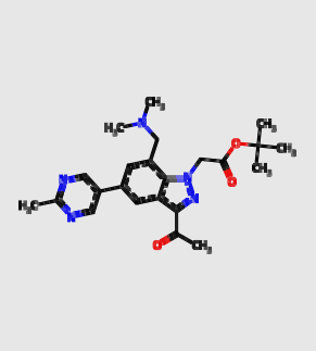 CC(=O)c1nn(CC(=O)OC(C)(C)C)c2c(CN(C)C)cc(-c3cnc(C)nc3)cc12